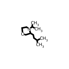 CC(C)CCC1COCCN1C(C)C